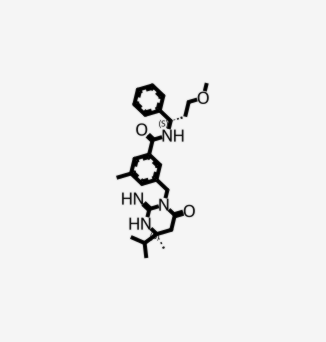 COCC[C@H](NC(=O)c1cc(C)cc(CN2C(=N)N[C@](C)(C(C)C)CC2=O)c1)c1ccccc1